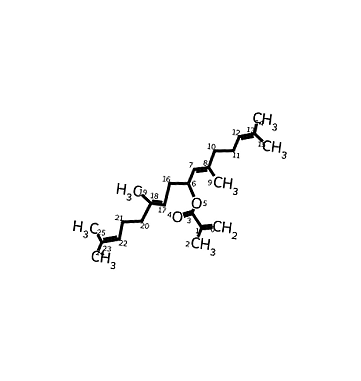 C=C(C)C(=O)OC(/C=C(\C)CCC=C(C)C)C/C=C(\C)CCC=C(C)C